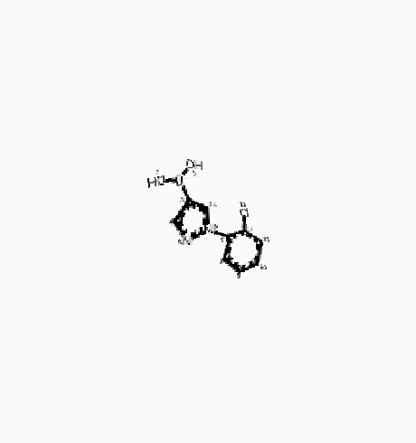 OB(O)c1cnn(-c2ccccc2Cl)c1